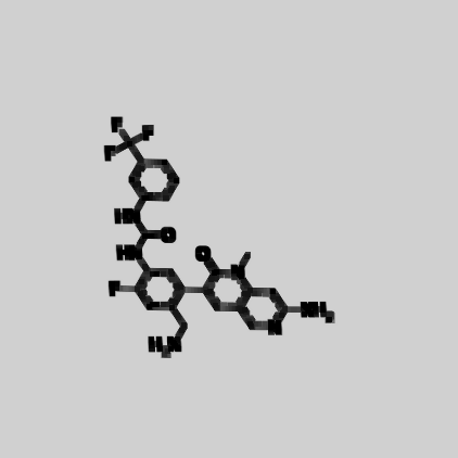 Cn1c(=O)c(-c2cc(NC(=O)Nc3cccc(C(F)(F)F)c3)c(F)cc2CN)cc2cnc(N)cc21